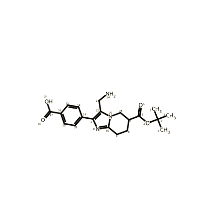 CC(C)(C)OC(=O)C1CCc2nc(-c3ccc(C(=O)O)cc3)c(CN)n2C1